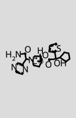 NC(=O)C(c1cnccn1)[N+]12CCC(CC1)[C@@H](OC(=O)C(O)(c1cccs1)C1CCCC1)C2